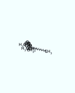 CCCCCCCCCCCCCCCCC(CC1C(=O)OC(=O)C1C(C)(C)C)C(C)(C)C